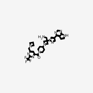 NCC1(n2cc(-c3ncnc4[nH]ccc34)cn2)CN(C2CCN(C(=O)c3cc(CN4CCC4)nc(C(F)(F)F)n3)CC2)C1